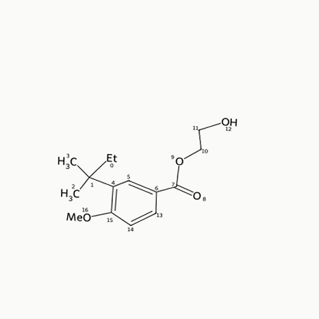 CCC(C)(C)c1cc(C(=O)OCCO)ccc1OC